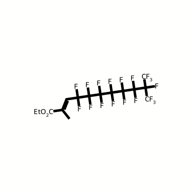 CCOC(=O)C(C)=CC(F)(F)C(F)(F)C(F)(F)C(F)(F)C(F)(F)C(F)(F)C(F)(C(F)(F)F)C(F)(F)F